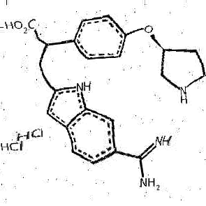 Cl.Cl.N=C(N)c1ccc2cc(CC(C(=O)O)c3ccc(O[C@H]4CCNC4)cc3)[nH]c2c1